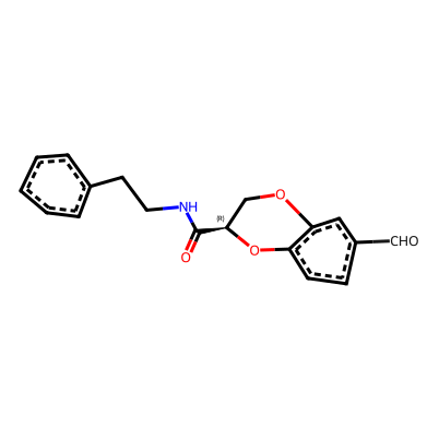 O=Cc1ccc2c(c1)OC[C@H](C(=O)NCCc1ccccc1)O2